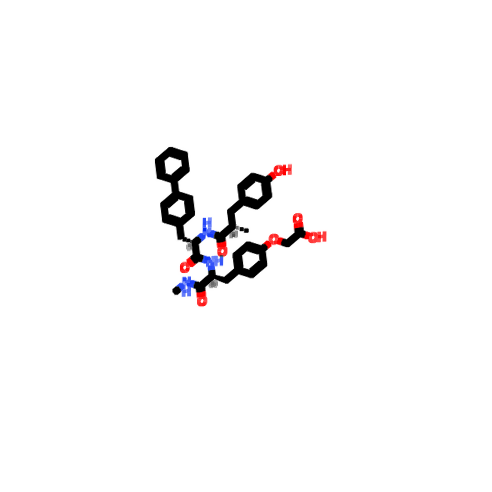 CNC(=O)[C@H](Cc1ccc(OCC(=O)O)cc1)NC(=O)[C@H](Cc1ccc(-c2ccccc2)cc1)NC(=O)[C@@H](C)Cc1ccc(O)cc1